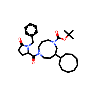 CC(C)(C)OC(=O)N1CCCN(C(=O)C2CCC(=O)N2Cc2ccccc2)CCC(C2CCCCCCCC2)C1